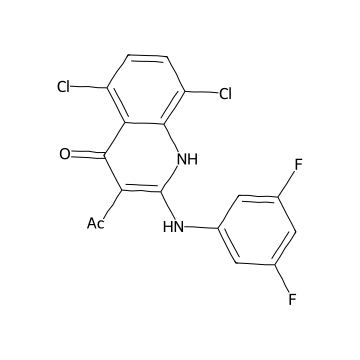 CC(=O)c1c(Nc2cc(F)cc(F)c2)[nH]c2c(Cl)ccc(Cl)c2c1=O